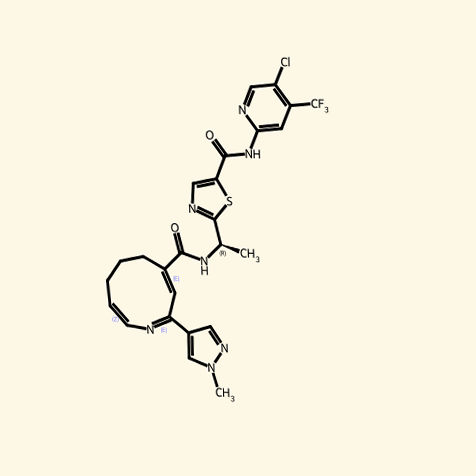 C[C@@H](NC(=O)/C1=C/C(c2cnn(C)c2)=N\C=C/CCC1)c1ncc(C(=O)Nc2cc(C(F)(F)F)c(Cl)cn2)s1